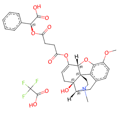 COc1ccc2c3c1O[C@H]1C(OC(=O)CCC(=O)O[C@H](C(=O)O)c4ccccc4)=CC[C@@]4(O)[C@@H](C2)N(C)CC[C@]314.O=C(O)C(F)(F)F